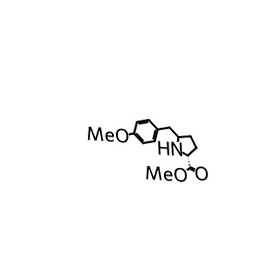 COC(=O)[C@H]1CCC(Cc2ccc(OC)cc2)N1